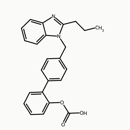 CCCc1nc2ccccc2n1Cc1ccc(-c2ccccc2OC(=O)O)cc1